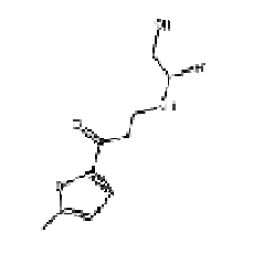 Cc1ccc(C(=O)CCNC(CO)C(C)C)o1